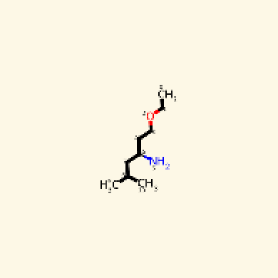 CCOCC[C@@H](N)CC(C)C